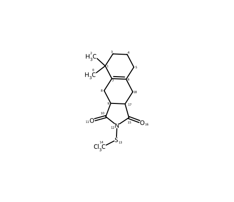 CC1(C)CCCC2=C1CC1C(=O)N(SC(Cl)(Cl)Cl)C(=O)C1C2